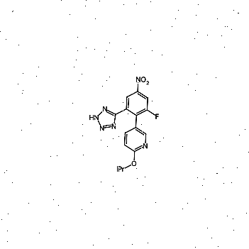 CC(C)Oc1ccc(-c2c(F)cc([N+](=O)[O-])cc2-c2nn[nH]n2)cn1